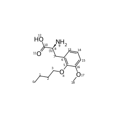 CCCCOc1c(C[C@H](N)C(=O)O)cccc1OC